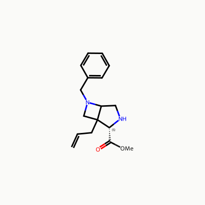 C=CCC12CN(Cc3ccccc3)C1CN[C@@H]2C(=O)OC